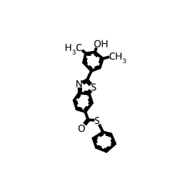 Cc1cc(-c2nc3ccc(C(=O)Sc4ccccc4)cc3s2)cc(C)c1O